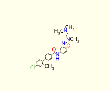 Cc1cc(Cl)ccc1-c1ccc(C(=O)Nc2ccc3oc(N(C)CCN(C)C)nc3c2)cc1